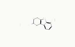 O=C(O)C1CCc2[nH]c3c(Cl)cccc3c2C1